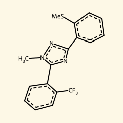 CSc1ccccc1-c1nc(-c2ccccc2C(F)(F)F)n(C)n1